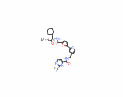 CNC(=O)[C@@H](NC(=O)c1ccc(-c2cc(CNC(=O)c3ccnc(C(F)(F)F)n3)ccn2)o1)C1CCCCC1